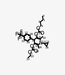 CCCCOC(=O)OC1=C(C)N(C2CC2)C(C)=C(OC(=O)OCC)C1c1ccc(C(F)(F)F)cc1